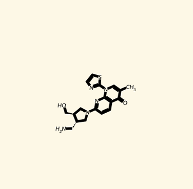 Cc1cn(-c2nccs2)c2nc(N3C[C@H](CN)[C@@H](CO)C3)ccc2c1=O